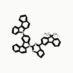 CC1(C)c2ccccc2-c2cc(-c3nc(-n4c5ccc(-n6c7ccccc7c7c8ccccc8ccc76)cc5c5c6ccccc6ccc54)nc4ccccc34)ccc21